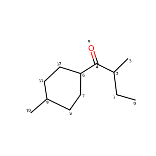 CCC(C)C(=O)C1CCC(C)CC1